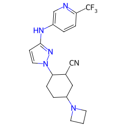 N#CC1CC(N2CCC2)CCC1n1ccc(Nc2ccc(C(F)(F)F)nc2)n1